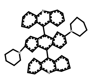 c1ccc2c(-c3c4ccc(N5CCCCC5)cc4c(-c4c5ccccc5nc5ccccc45)c4ccc(N5CCCCC5)cc34)c3ccccc3nc2c1